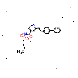 CCCCCS(=O)(=O)NC(=O)c1ccnc(C=Cc2ccc(-c3ccccc3)cc2)c1